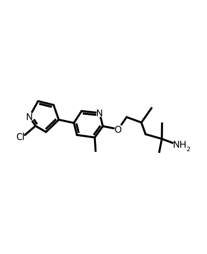 Cc1cc(-c2ccnc(Cl)c2)cnc1OCC(C)CC(C)(C)N